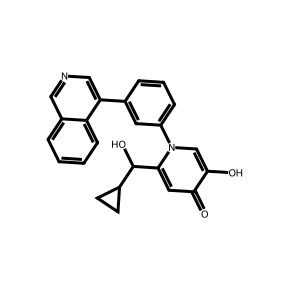 O=c1cc(C(O)C2CC2)n(-c2cccc(-c3cncc4ccccc34)c2)cc1O